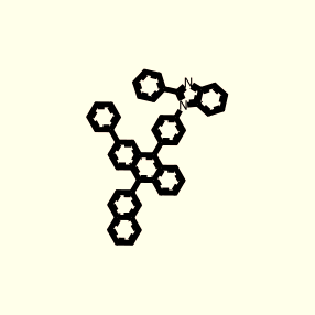 c1ccc(-c2ccc3c(-c4ccc5ccccc5c4)c4ccccc4c(-c4ccc(-n5c(-c6ccccc6)nc6ccccc65)cc4)c3c2)cc1